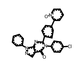 O=c1c2cnn(-c3ccccc3)c2nc(-c2ccc(-c3cccc[n+]3[O-])cc2)n1-c1ccc(Cl)cc1